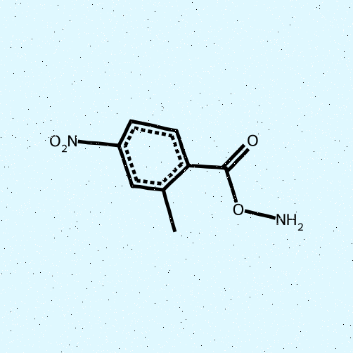 Cc1cc([N+](=O)[O-])ccc1C(=O)ON